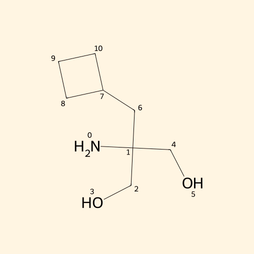 NC(CO)(CO)CC1CCC1